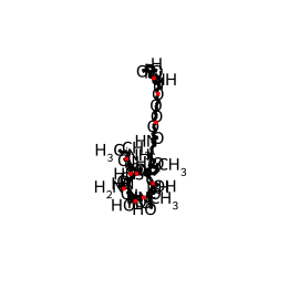 CC[C@H](C)[C@H](N)C(=O)NCC(=O)N[C@H]1C[S+]([O-])c2[nH]c3c(CSCCCCNC(=O)CCOCCOCCOCCOCCN4C=C(CN5C(=O)C=CC5=O)NN4)c(OC)ccc3c2C[C@@H](CO)NC(=O)[C@H]([C@@H](C)[C@@H](O)CO)NC(=O)[C@@H]2C[C@@H](O)CN2C(=O)[C@H](CC(N)=O)NC1=O